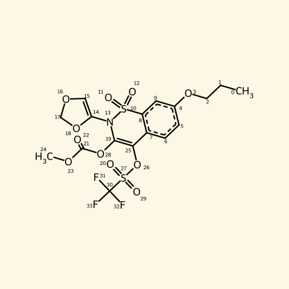 CCCOc1ccc2c(c1)S(=O)(=O)N(C1=COCO1)C(OC(=O)OC)=C2OS(=O)(=O)C(F)(F)F